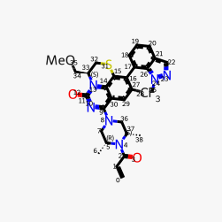 C=CC(=O)N1[C@H](C)CN(c2nc(=O)n3c4c(c(-c5cccc6cnn(C)c56)c(C(F)(F)F)cc24)SC[C@@H]3COC)C[C@@H]1C